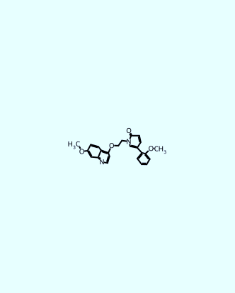 COc1ccc2c(OCCn3cc(-c4ccccc4OC)ccc3=O)ccnc2c1